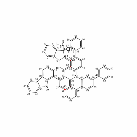 CC1(C)c2ccccc2-c2cc(-c3c(-c4cccc5c4sc4ccccc45)cccc3N(c3ccc(-c4ccccc4)cc3)c3cc(-c4ccccc4)ccc3-c3ccccc3)ccc21